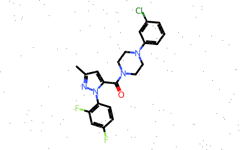 Cc1cc(C(=O)N2CCN(c3cccc(Cl)c3)CC2)n(-c2ccc(F)cc2F)n1